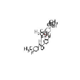 Cc1cc(NC(=O)c2ccc(F)c(C(F)(F)C(=O)N3C4C[C@@H](NS(C)(=O)=O)C[C@H]3CC[C@@H]4C)c2)ccc1F